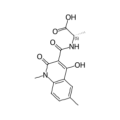 Cc1ccc2c(c1)c(O)c(C(=O)N[C@@H](C)C(=O)O)c(=O)n2C